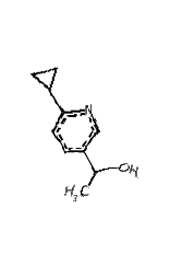 CC(O)c1ccc(C2CC2)nc1